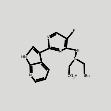 CC(C)(C)CN(CC(=O)O)Nc1nc(-c2c[nH]c3ncccc23)ncc1F